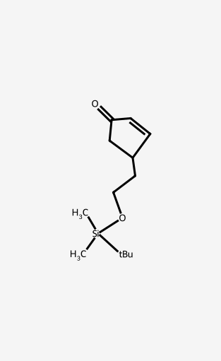 CC(C)(C)[Si](C)(C)OCCC1C=CC(=O)C1